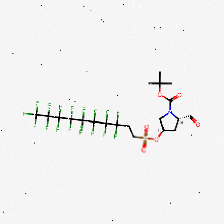 CC(C)(C)OC(=O)N1C[C@H](OS(=O)(=O)CCC(F)(F)C(F)(F)C(F)(F)C(F)(F)C(F)(F)C(F)(F)C(F)(F)C(F)(F)F)C[C@H]1C=O